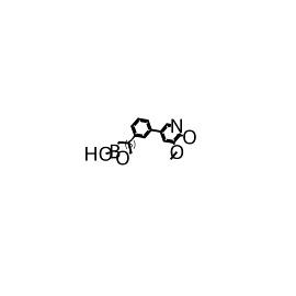 COc1cc(-c2cccc([C@H]3COB(O)C3)c2)cnc1OC